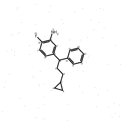 Nc1cc(C(CCC2CC2)c2ccccc2)ccc1F